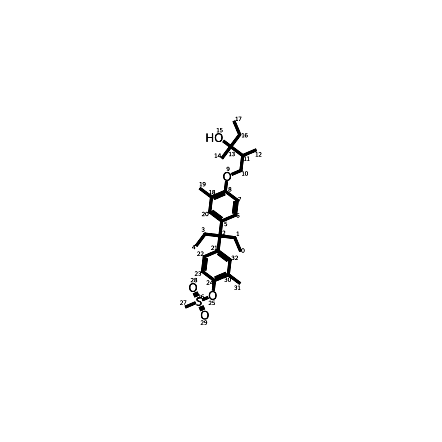 CCC(CC)(c1ccc(OCC(C)C(C)(O)CC)c(C)c1)c1ccc(OS(C)(=O)=O)c(C)c1